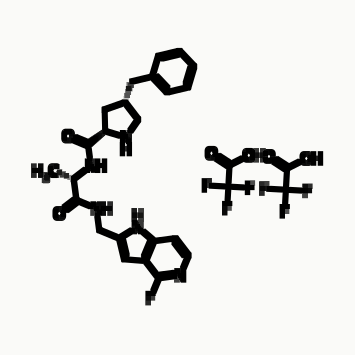 C[C@H](NC(=O)[C@H]1C[C@H](Cc2ccccc2)CN1)C(=O)NCc1cc2c(F)nccc2[nH]1.O=C(O)C(F)(F)F.O=C(O)C(F)(F)F